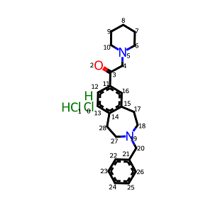 Cl.Cl.O=C(CN1CCCCC1)c1ccc2c(c1)CCN(Cc1ccccc1)CC2